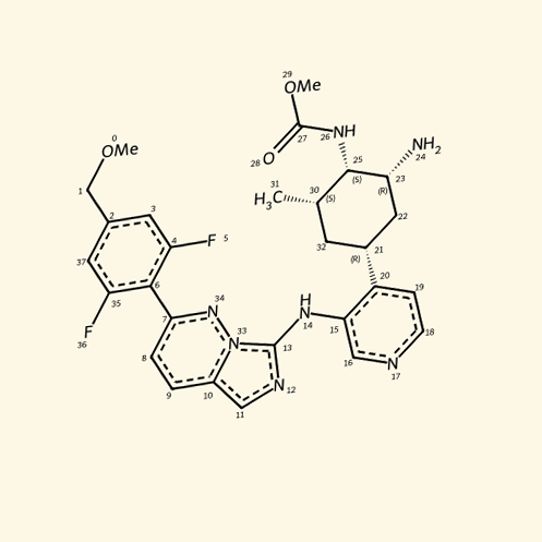 COCc1cc(F)c(-c2ccc3cnc(Nc4cnccc4[C@H]4C[C@@H](N)[C@@H](NC(=O)OC)[C@@H](C)C4)n3n2)c(F)c1